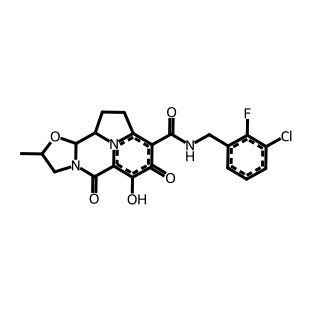 CC1CN2C(=O)c3c(O)c(=O)c(C(=O)NCc4cccc(Cl)c4F)c4n3C(CC4)C2O1